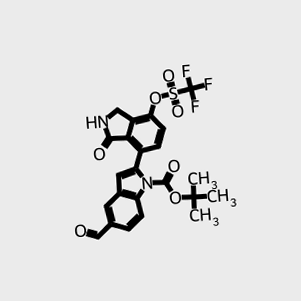 CC(C)(C)OC(=O)n1c(-c2ccc(OS(=O)(=O)C(F)(F)F)c3c2C(=O)NC3)cc2cc(C=O)ccc21